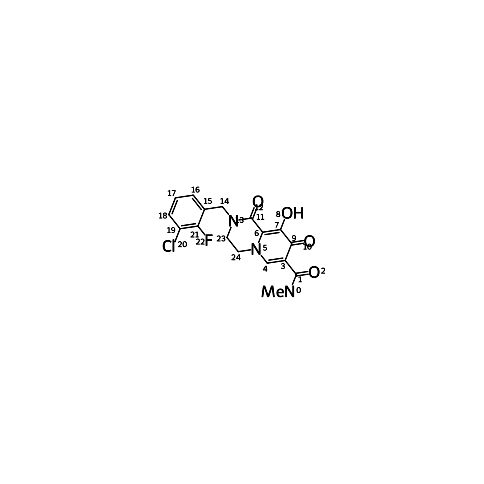 CNC(=O)c1cn2c(c(O)c1=O)C(=O)N(Cc1cccc(Cl)c1F)CC2